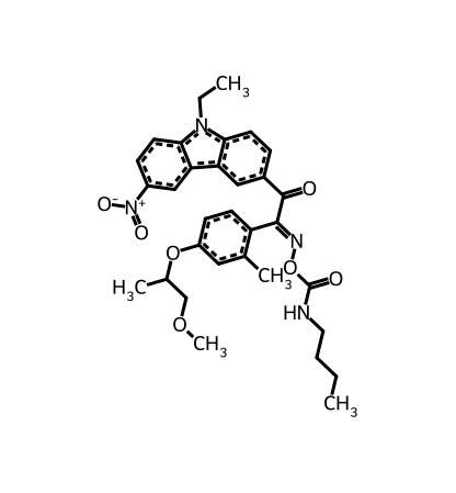 CCCCNC(=O)O/N=C(/C(=O)c1ccc2c(c1)c1cc([N+](=O)[O-])ccc1n2CC)c1ccc(OC(C)COC)cc1C